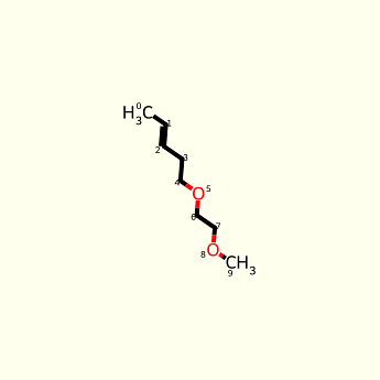 CC=CCCOCCOC